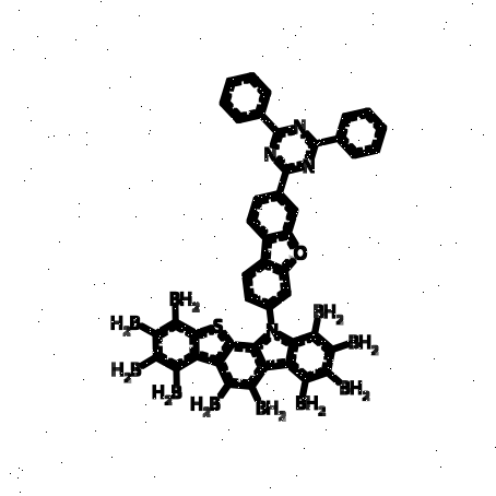 Bc1c(B)c(B)c2c(sc3c2c(B)c(B)c2c4c(B)c(B)c(B)c(B)c4n(-c4ccc5c(c4)oc4cc(-c6nc(-c7ccccc7)nc(-c7ccccc7)n6)ccc45)c32)c1B